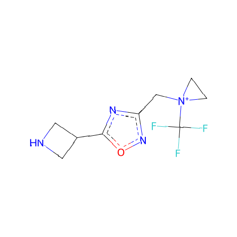 FC(F)(F)[N+]1(Cc2noc(C3CNC3)n2)CC1